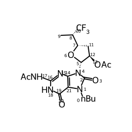 CCCCn1c(=O)n([C@@H]2O[C@H]([C@H](C)C(F)(F)F)C[C@H]2OC(C)=O)c2nc(NC(C)=O)[nH]c(=O)c21